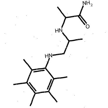 Cc1c(C)c(C)c(NCC(C)NC(C)C(N)=O)c(C)c1C